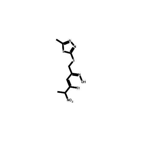 CCC(=CC(CSc1nnc(C)s1)=NO)C(C)[N+](=O)[O-]